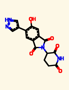 O=C1CCC(N2C(=O)c3cc(O)c(-c4cn[nH]c4)cc3C2=O)C(=O)N1